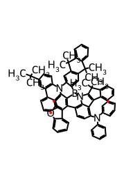 CC(C)(C)c1ccc(N2c3cc4c(cc3B3c5c2cc2oc6ccccc6c2c5-c2ccc(N(c5ccccc5)c5ccccc5)c5c6c(n3c25)C(C)(C)c2ccccc2-6)C(C)(C)c2ccccc2C4(C)C)c(-c2ccccc2)c1